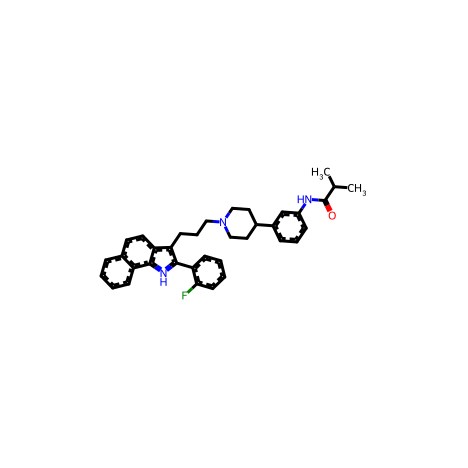 CC(C)C(=O)Nc1cccc(C2CCN(CCCc3c(-c4ccccc4F)[nH]c4c3ccc3ccccc34)CC2)c1